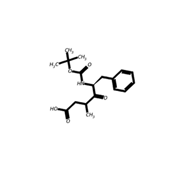 CC(CC(=O)O)C(=O)[C@H](Cc1ccccc1)NC(=O)OC(C)(C)C